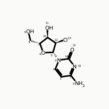 Nc1ccn([C@@H]2O[C@H](CO)[C@@H](O)[C@H]2Cl)c(=O)n1